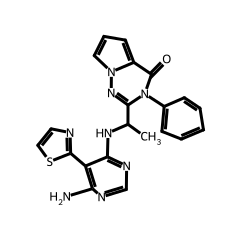 CC(Nc1ncnc(N)c1-c1nccs1)c1nn2cccc2c(=O)n1-c1ccccc1